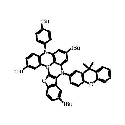 CC(C)(C)c1ccc(N2c3ccc(C(C)(C)C)cc3B3c4oc5ccc(C(C)(C)C)cc5c4N(c4ccc5c(c4)C(C)(C)c4ccccc4O5)c4cc(C(C)(C)C)cc2c43)cc1